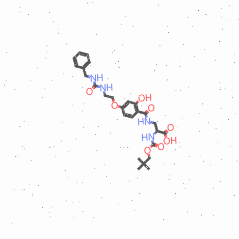 CC(C)(C)COC(=O)NC(CNC(=O)c1ccc(OCCNC(=O)NCc2ccccc2)cc1O)C(=O)O